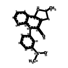 CC1Cc2c(c3cccnc3n(-c3cccc([S+](C)[O-])c3)c2=O)O1